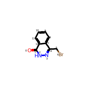 O=c1[nH]nc(CBr)c2ccccc12